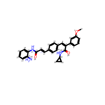 COc1cccc(C(=Cc2ccc(/C=C/C(=O)Nc3ccccc3N)cc2)C(=O)NC2CC2)c1